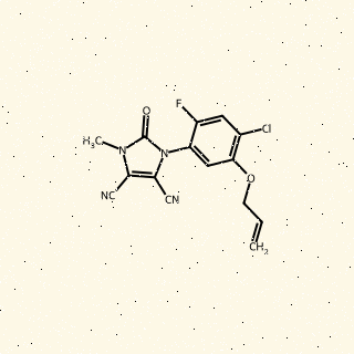 C=CCOc1cc(-n2c(C#N)c(C#N)n(C)c2=O)c(F)cc1Cl